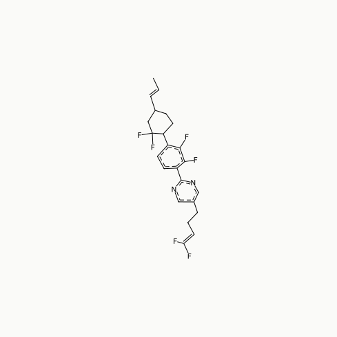 C/C=C/C1CCC(c2ccc(-c3ncc(CCC=C(F)F)cn3)c(F)c2F)C(F)(F)C1